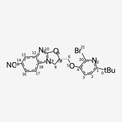 CC(C)(C)c1ccc(OC[C@@H]2Cn3c(nc4cc(C#N)ccc43)O2)c(Br)n1